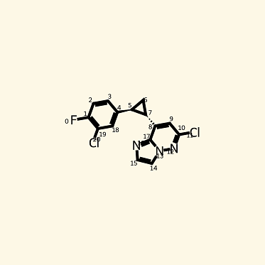 Fc1ccc([C@H]2C[C@@H]2c2cc(Cl)nn3ccnc23)cc1Cl